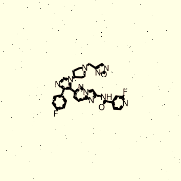 O=C(Nc1cn2nc(-c3c(-c4ccc(F)cc4)ncn3C3CCN(Cc4cnon4)CC3)ccc2n1)c1ccnc(F)c1